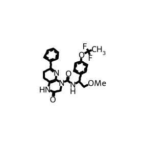 COCC(NC(=O)N1CC(=O)NC2=C1N=C(c1ccccc1)CC2)c1ccc(OC(C)(F)F)cc1